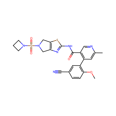 COc1ccc(C#N)cc1-c1cc(C)ncc1C(=O)Nc1nc2c(s1)CN(S(=O)(=O)N1CCC1)C2